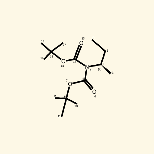 CC[C@@H](C)N(C(=O)OC(C)(C)C)C(=O)OC(C)(C)C